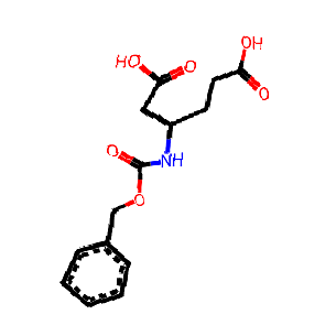 O=C(O)CCC(CC(=O)O)NC(=O)OCc1ccccc1